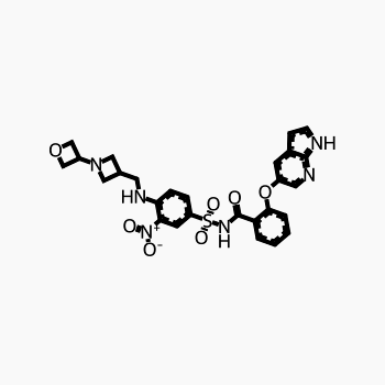 O=C(NS(=O)(=O)c1ccc(NCC2CN(C3COC3)C2)c([N+](=O)[O-])c1)c1ccccc1Oc1cnc2[nH]ccc2c1